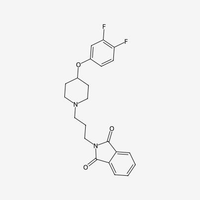 O=C1c2ccccc2C(=O)N1CCCN1CCC(Oc2ccc(F)c(F)c2)CC1